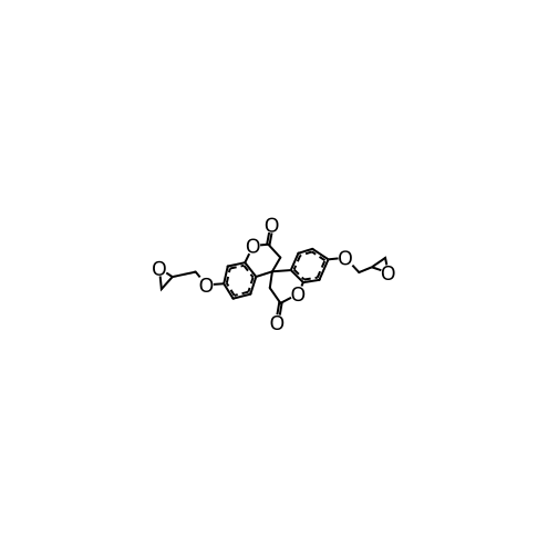 O=C1CC2(CC(=O)Oc3cc(OCC4CO4)ccc32)c2ccc(OCC3CO3)cc2O1